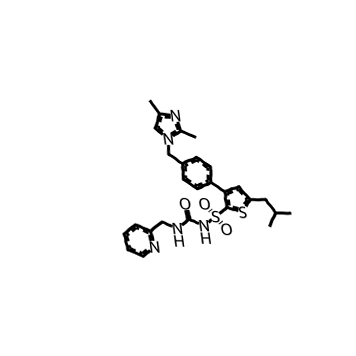 Cc1cn(Cc2ccc(-c3cc(CC(C)C)sc3S(=O)(=O)NC(=O)NCc3ccccn3)cc2)c(C)n1